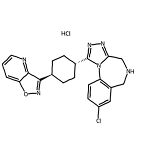 Cl.Clc1ccc2c(c1)CNCc1nnc([C@H]3CC[C@H](c4noc5cccnc54)CC3)n1-2